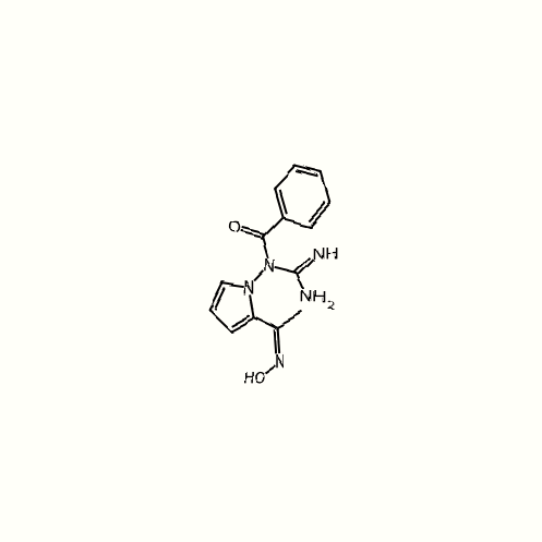 C/C(=N/O)c1cccn1N(C(=N)N)C(=O)c1ccccc1